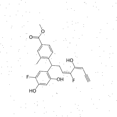 C#C/C=C(O)\C(F)=C/CC(c1ccc(C(=O)OC)cc1C)c1cc(F)c(O)cc1O